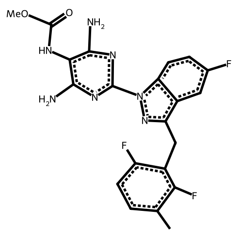 COC(=O)Nc1c(N)nc(-n2nc(Cc3c(F)ccc(C)c3F)c3cc(F)ccc32)nc1N